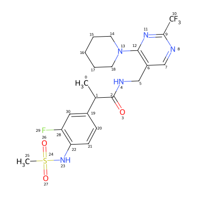 CC(C(=O)NCc1cnc(C(F)(F)F)nc1N1CCCCC1)c1ccc(NS(C)(=O)=O)c(F)c1